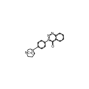 O=c1c2ccccc2nnn1-c1ccc(N2CCN3CCC2CC3)cc1